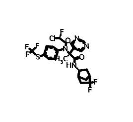 C[C@@](C(=O)N[C@H]1CC2CC1CC2(F)F)(c1cncnc1)N(C(=O)[C@H](F)Cl)c1ccc(SC(F)(F)F)cc1